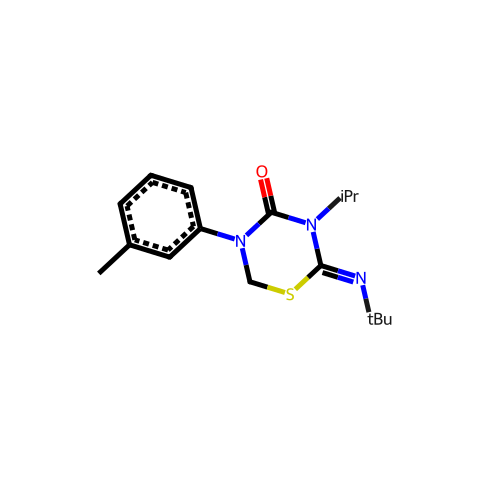 Cc1cccc(N2CS/C(=N\C(C)(C)C)N(C(C)C)C2=O)c1